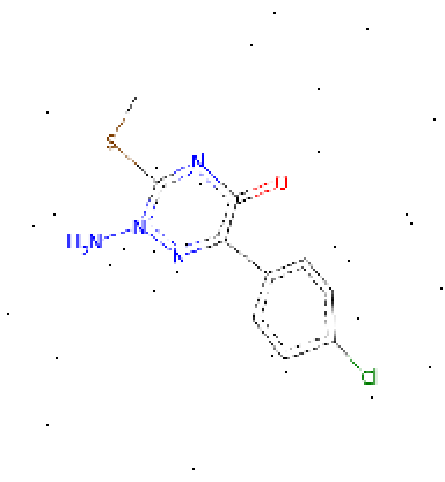 CSc1nc(=O)c(-c2ccc(Cl)cc2)nn1N